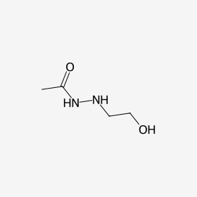 CC(=O)NNCCO